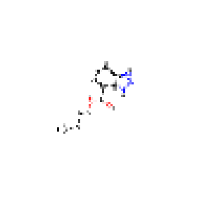 CCCCOC(=O)c1cccc2[nH]nnc12